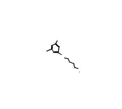 CCCCCP=O.Cc1cc(C)cc(C)c1